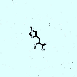 CO[C@@H](Cc1cn(C)cn1)C(=O)O